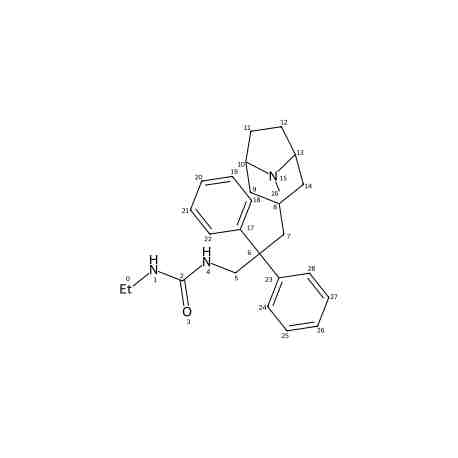 CCNC(=O)NCC(CC1CC2CCC(C1)N2C)(c1ccccc1)c1ccccc1